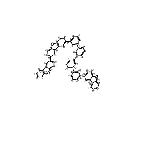 c1cc(-c2cccc(-c3cccc(-c4ccc5oc6ccc(-c7ccc8oc9cccnc9c8c7)cc6c5c4)c3)c2)cc(-c2cccc(-c3ccc4oc5ccccc5c4c3)c2)c1